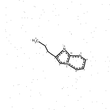 CCCc1cn2cccnc2n1